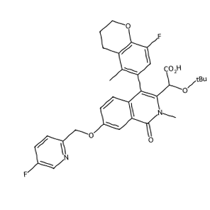 Cc1c(-c2c(C(OC(C)(C)C)C(=O)O)n(C)c(=O)c3cc(OCc4ccc(F)cn4)ccc23)cc(F)c2c1CCCO2